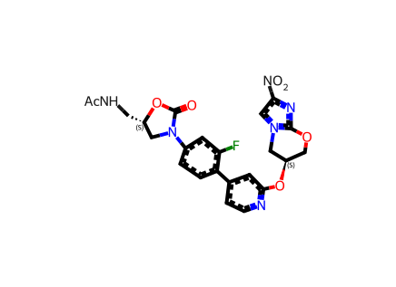 CC(=O)NC[C@H]1CN(c2ccc(-c3ccnc(O[C@@H]4COc5nc([N+](=O)[O-])cn5C4)c3)c(F)c2)C(=O)O1